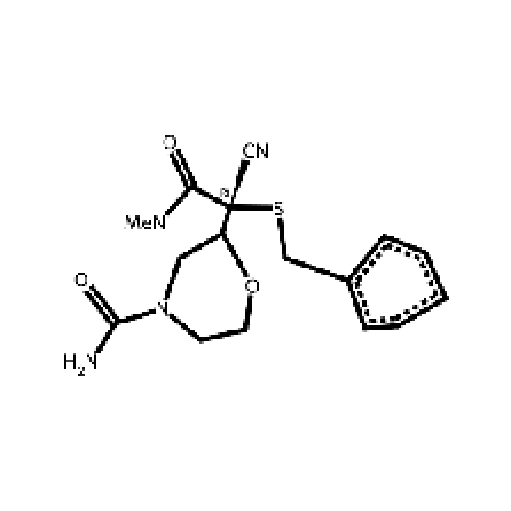 CNC(=O)[C@](C#N)(SCc1ccccc1)C1CN(C(N)=O)CCO1